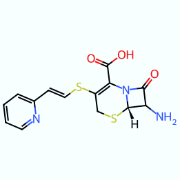 NC1C(=O)N2C(C(=O)O)=C(S/C=C/c3ccccn3)CS[C@@H]12